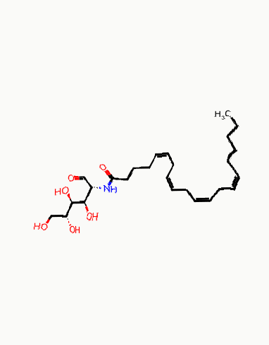 CCCCC/C=C\C/C=C\C/C=C\C/C=C\CCCC(=O)N[C@@H](C=O)[C@@H](O)[C@H](O)[C@H](O)CO